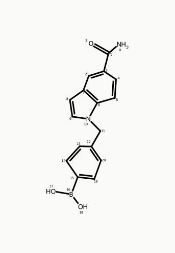 NC(=O)c1ccc2c(ccn2Cc2ccc(B(O)O)cc2)c1